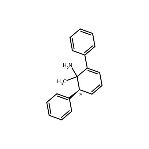 CC1(N)C(c2ccccc2)=CC=C[C@H]1c1ccccc1